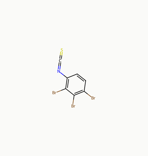 S=C=Nc1ccc(Br)c(Br)c1Br